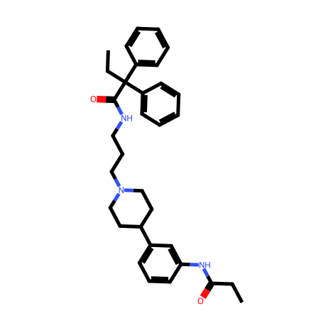 CCC(=O)Nc1cccc(C2CCN(CCCNC(=O)C(CC)(c3ccccc3)c3ccccc3)CC2)c1